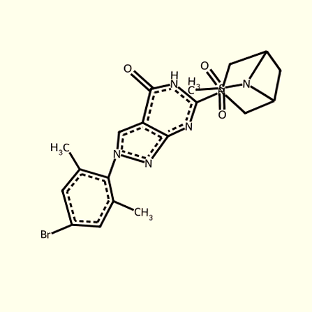 Cc1cc(Br)cc(C)c1-n1cc2c(=O)[nH]c(N3CC4CC(C3)N4S(C)(=O)=O)nc2n1